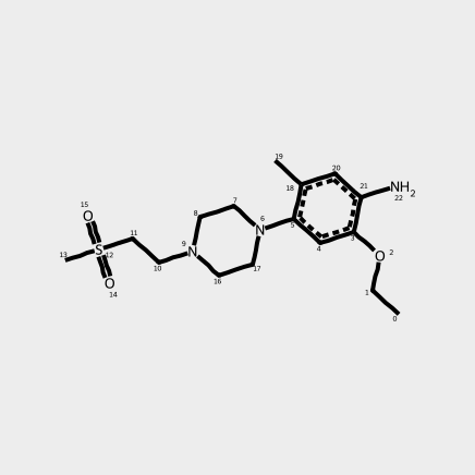 CCOc1cc(N2CCN(CCS(C)(=O)=O)CC2)c(C)cc1N